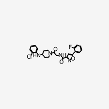 O=C(NCC(=O)N1CCC(Nc2ccccc2Cl)CC1)c1cc(-c2ccccc2F)on1